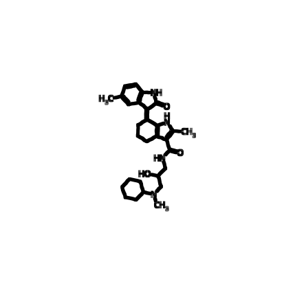 Cc1ccc2c(c1)/C(=C1\CCCc3c1[nH]c(C)c3C(=O)NCC(O)CN(C)C1CCCCC1)C(=O)N2